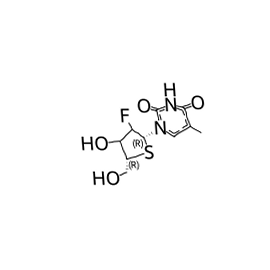 Cc1cn([C@@H]2S[C@H](CO)C(O)C2F)c(=O)[nH]c1=O